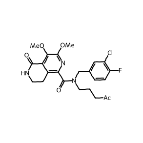 COc1nc(C(=O)N(CCCC(C)=O)Cc2ccc(F)c(Cl)c2)c2c(c1OC)C(=O)NCC2